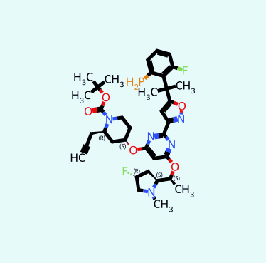 C#CC[C@@H]1C[C@@H](Oc2cc(O[C@@H](C)[C@@H]3C[C@@H](F)CN3C)nc(-c3cc(C(C)(C)c4c(F)cccc4P)on3)n2)CCN1C(=O)OC(C)(C)C